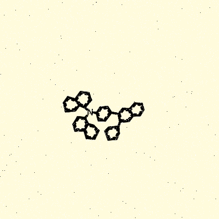 c1ccc(-c2cc3ccccc3cc2-c2ccc(N(c3cccc4ccccc34)c3cccc4ccccc34)cc2)cc1